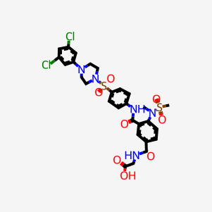 CN(c1ccc(C(=O)NCC(=O)O)cc1C(=O)Nc1ccc(S(=O)(=O)N2CCN(c3cc(Cl)cc(Cl)c3)CC2)cc1)S(C)(=O)=O